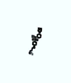 CCN([C@H]1CCC[C@@H](n2cnnc2)C1)S(=O)(=O)c1ccc(OCCCC(F)(F)F)cc1